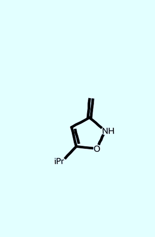 C=C1C=C(C(C)C)ON1